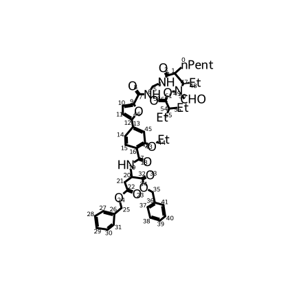 CCCCCC(C(=O)NCNC(=O)c1ccc(-c2ccc(C(=O)NC(CC(=O)OCc3ccccc3)C(=O)OCc3ccccc3)c(OCC)c2)o1)[C@@H](CC)N(C=O)OC(=O)C(CC)CC